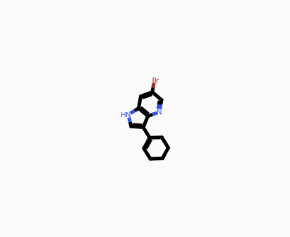 Brc1cnc2c(C3=CCCCC3)c[nH]c2c1